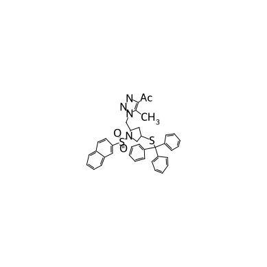 CC(=O)c1nnn(CC2CC(SC(c3ccccc3)(c3ccccc3)c3ccccc3)CN2S(=O)(=O)c2ccc3ccccc3c2)c1C